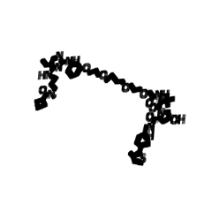 CCc1cnc(Nc2cccc(OCCCOCCCCOCCCOCC(=O)N[C@H](C(=O)N3C[C@H](O)C[C@H]3C(=O)NCc3ccc(-c4sccc4C)cc3)C(C)(C)C)c2)nc1NCCCN(C)C(=O)C1CCC1